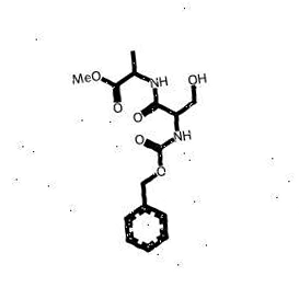 COC(=O)C(C)NC(=O)C(CO)NC(=O)OCc1ccccc1